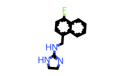 Fc1ccc(CNC2=NCCN2)c2ccccc12